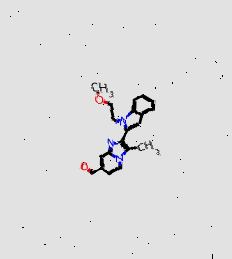 COCCn1c(-c2nc3cc(C=O)ccn3c2C)cc2ccccc21